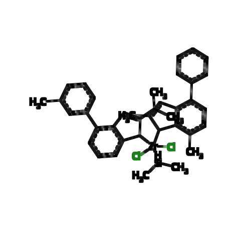 CC1=Cc2c(-c3ccccc3)ccc(C)c2[CH]1[Zr]([Cl])([Cl])([CH]1C(C(C)C)=Cc2c(-c3cccc(C)c3)cccc21)[SiH](C)C